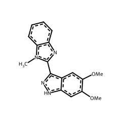 COc1cc2[nH]nc(-c3nc4ccccc4n3C)c2cc1OC